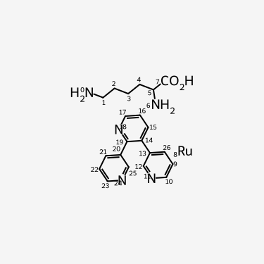 NCCCCC(N)C(=O)O.[Ru].c1cncc(-c2cccnc2-c2cccnc2)c1